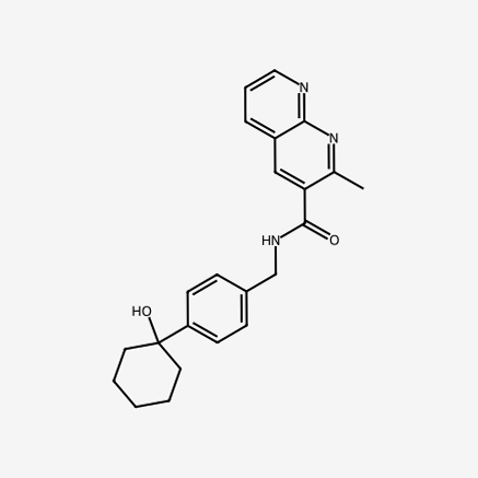 Cc1nc2ncccc2cc1C(=O)NCc1ccc(C2(O)CCCCC2)cc1